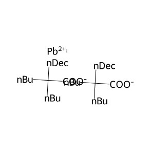 CCCCCCCCCCC(CCCC)(CCCC)C(=O)[O-].CCCCCCCCCCC(CCCC)(CCCC)C(=O)[O-].[Pb+2]